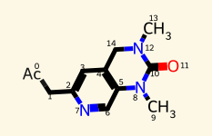 CC(=O)Cc1cc2c(cn1)N(C)C(=O)N(C)C2